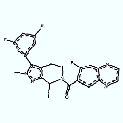 CC1c2nn(C)c(-c3cc(F)cc(F)c3)c2CCN1C(=O)c1cc2nccnc2cc1F